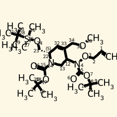 C=CCON(C(=O)OC(C)(C)C)C1CN(C(=O)OC(C)(C)C)[C@H](CO[Si](C)(C)C(C)(C)C)C=C1COC